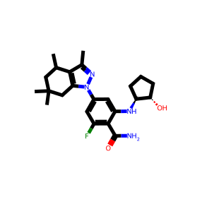 Cc1nn(-c2cc(F)c(C(N)=O)c(N[C@H]3CCC[C@@H]3O)c2)c2c1C(C)CC(C)(C)C2